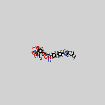 CC1(C)COC(c2ccc([C@H]3CC[C@H](NC[C@H](O)COc4ccc(O)c(NS(C)(=O)=O)c4)CC3)cc2)=N1